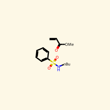 C=CC(=O)OC.CCCCNS(=O)(=O)c1ccccc1